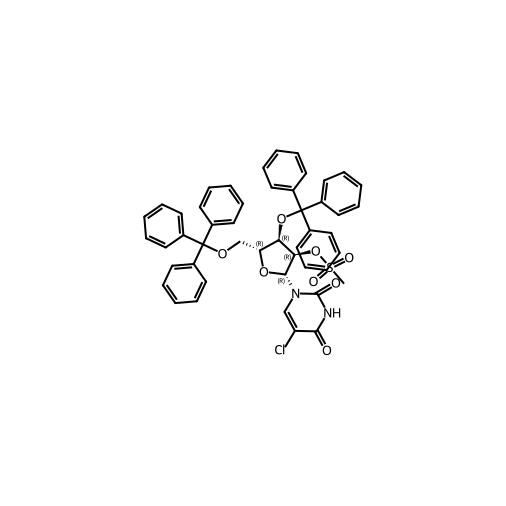 CS(=O)(=O)O[C@@H]1[C@H](OC(c2ccccc2)(c2ccccc2)c2ccccc2)[C@@H](COC(c2ccccc2)(c2ccccc2)c2ccccc2)O[C@H]1n1cc(Cl)c(=O)[nH]c1=O